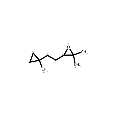 CC1(CCC2OC2(C)C)[CH]C1